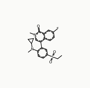 CCS(=O)(=O)c1ccc(N(C)C2CC2)c(-c2cn(C)c(=O)c3cc(F)ccc23)c1